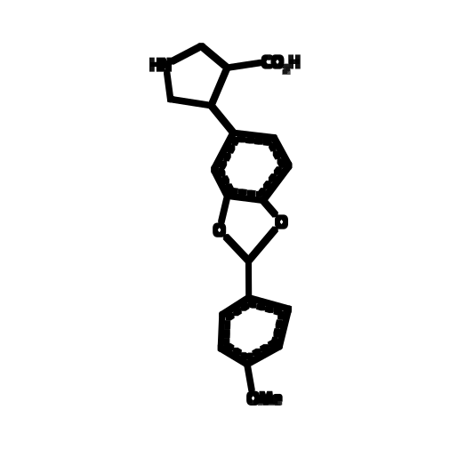 COc1ccc(C2Oc3ccc(C4CNCC4C(=O)O)cc3O2)cc1